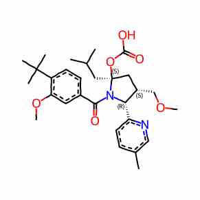 COC[C@H]1C[C@](CC(C)C)(OC(=O)O)N(C(=O)c2ccc(C(C)(C)C)c(OC)c2)[C@H]1c1ccc(C)cn1